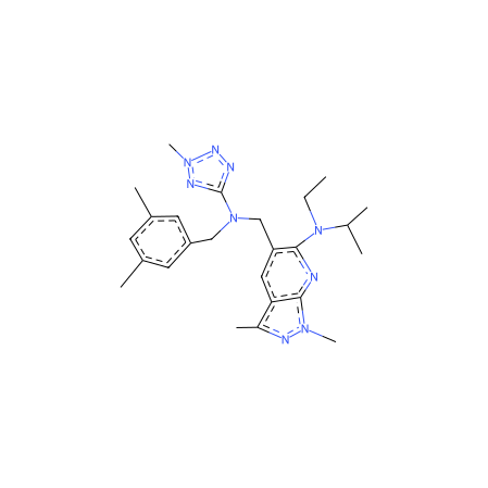 CCN(c1nc2c(cc1CN(Cc1cc(C)cc(C)c1)c1nnn(C)n1)c(C)nn2C)C(C)C